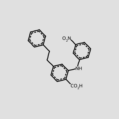 O=C(O)c1ccc(CCc2ccccc2)cc1Nc1cccc([N+](=O)[O-])c1